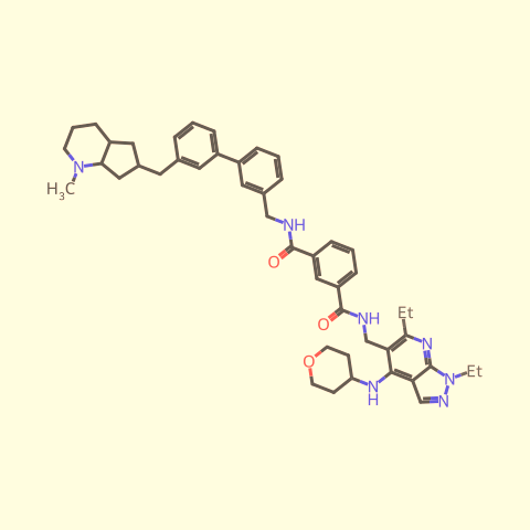 CCc1nc2c(cnn2CC)c(NC2CCOCC2)c1CNC(=O)c1cccc(C(=O)NCc2cccc(-c3cccc(CC4CC5CCCN(C)C5C4)c3)c2)c1